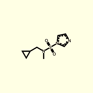 CN(CC1CC1)S(=O)(=O)n1ccnc1